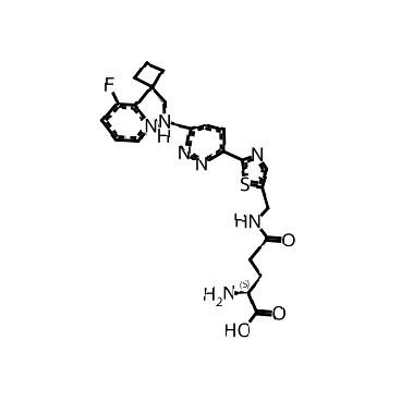 N[C@@H](CCC(=O)NCc1cnc(-c2ccc(NCC3(c4ncccc4F)CCC3)nn2)s1)C(=O)O